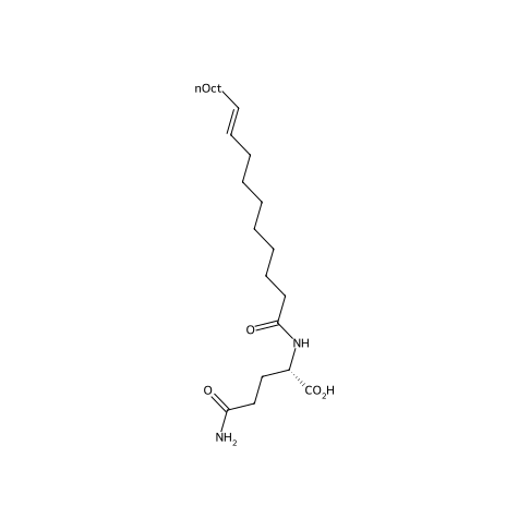 CCCCCCCCC=CCCCCCCCC(=O)N[C@@H](CCC(N)=O)C(=O)O